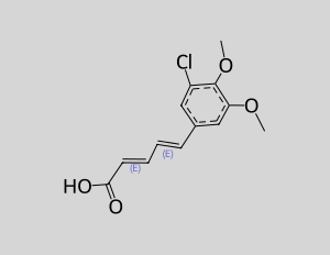 COc1cc(/C=C/C=C/C(=O)O)cc(Cl)c1OC